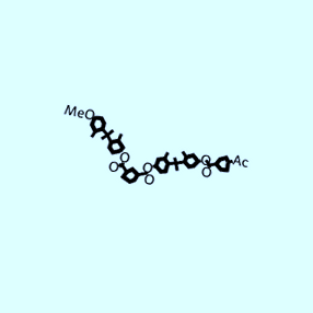 COc1ccc(C(C)(C)c2ccc(OC(=O)c3cccc(C(=O)Oc4ccc(C(C)(C)c5ccc(OC(=O)c6ccc(C(C)=O)cc6)cc5C)c(C)c4)c3)cc2C)c(C)c1